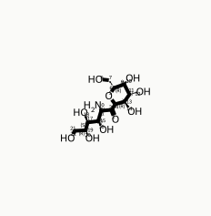 N[C@@H](C(=O)C1O[C@H](CO)[C@H](O)[C@H](O)[C@H]1O)[C@@H](O)[C@H](O)[C@H](O)CO